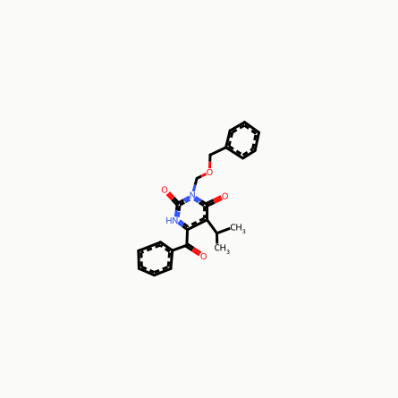 CC(C)c1c(C(=O)c2ccccc2)[nH]c(=O)n(COCc2ccccc2)c1=O